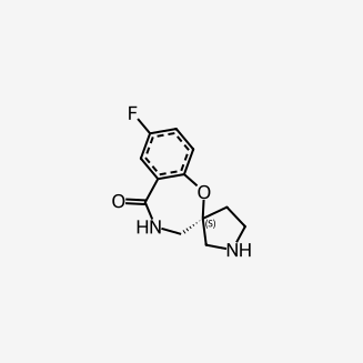 O=C1NC[C@@]2(CCNC2)Oc2ccc(F)cc21